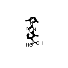 Cc1c(B(O)O)ccn2nc(-n3c(C)ccc3C)nc12